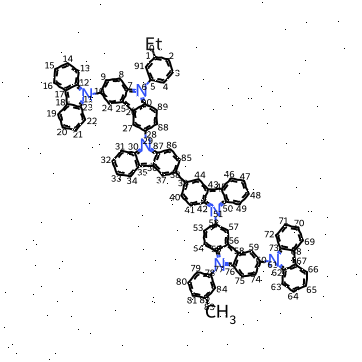 CCc1cccc(-n2c3ccc(-n4c5ccccc5c5ccccc54)cc3c3cc(-n4c5ccccc5c5cc(-c6ccc7c(c6)c6ccccc6n7-c6ccc7c(c6)c6cc(-n8c9ccccc9c9ccccc98)ccc6n7-c6cccc(C)c6)ccc54)ccc32)c1